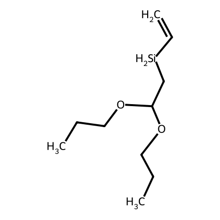 C=C[SiH2]CC(OCCC)OCCC